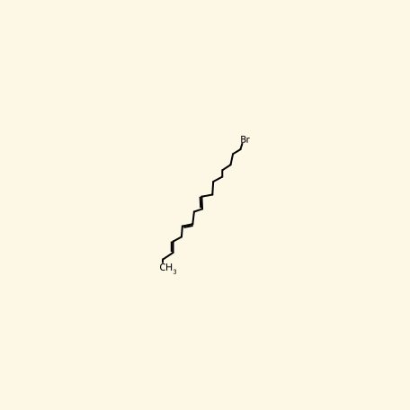 CCC=CCC=CCC=CCCCCCCCBr